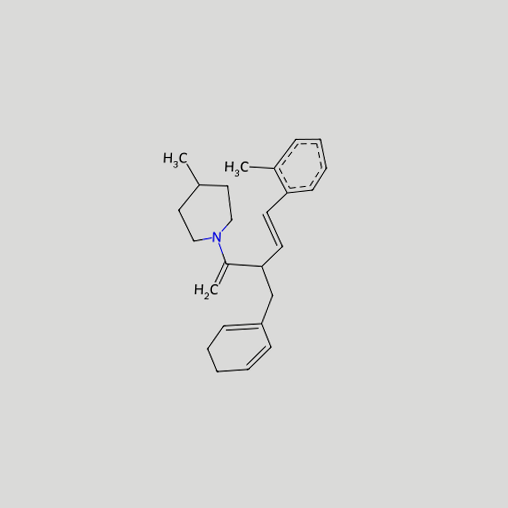 C=C(C(/C=C/c1ccccc1C)CC1=CCCC=C1)N1CCC(C)CC1